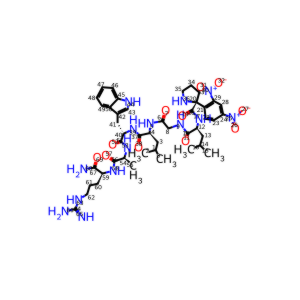 CC(C)C[C@H](NC(=O)CNC(=O)[C@H](CC(C)C)NC(=O)[C@]1(c2ccc([N+](=O)[O-])cc2[N+](=O)[O-])CCCN1)C(=O)N[C@@H](Cc1c[nH]c2ccccc12)C(=O)N[C@@H](C)C(=O)N[C@@H](CCCNC(=N)N)C(N)=O